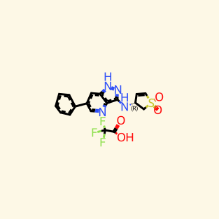 O=C(O)C(F)(F)F.O=S1(=O)C=C[C@@H](Nc2n[nH]c3cc(-c4ccccc4)cnc23)C1